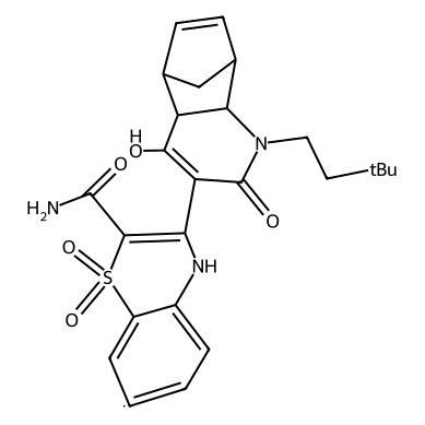 CC(C)(C)CCN1C(=O)C(C2=C(C(N)=O)S(=O)(=O)c3c[c]ccc3N2)=C(O)C2C3C=CC(C3)C21